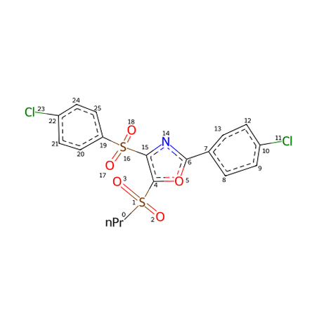 CCCS(=O)(=O)c1oc(-c2ccc(Cl)cc2)nc1S(=O)(=O)c1ccc(Cl)cc1